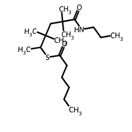 CCCCCC(=O)SC(C)C(C)(C)CC(C)(C)C(=O)NCCC